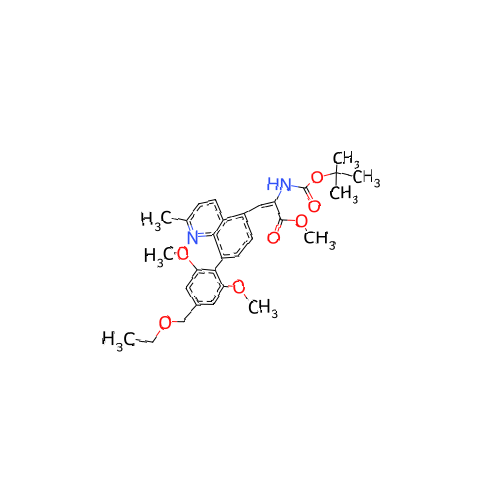 CCOCc1cc(OC)c(-c2ccc(/C=C(/NC(=O)OC(C)(C)C)C(=O)OC)c3ccc(C)nc23)c(OC)c1